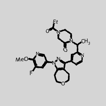 CCC(=O)N1CCN(C(C)c2cc(-c3nn(-c4cnc(OC)c(F)c4)c4c3CCOCC4)ccn2)C(=O)C1